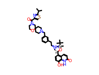 CC(C)c1nc(C(=O)N2CCOC3(CCN(Cc4cccc(CCNC[C@H](O[Si](C)(C)C(C)(C)C)c5ccc(O)c6[nH]c(=O)ccc56)c4)CC3)C2)cs1